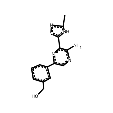 Cc1nnc(-c2nc(-c3cccc(CO)c3)cnc2N)[nH]1